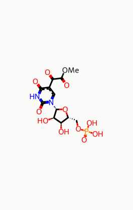 COC(=O)C(=O)c1cn([C@@H]2O[C@H](COP(=O)(O)O)[C@@H](O)[C@H]2O)c(=O)[nH]c1=O